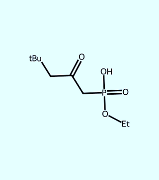 CCOP(=O)(O)CC(=O)CC(C)(C)C